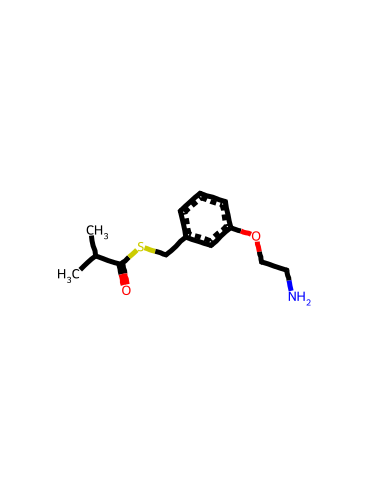 CC(C)C(=O)SCc1cccc(OCCN)c1